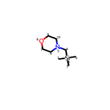 C[Si](C)(C)CN1CCOCC1